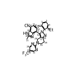 CCc1cccc(CC)c1-n1nc2c(c1-c1ccc(Cl)c3[nH]c(C)nc13)CN(c1ncc(C(F)(F)F)cn1)CC2